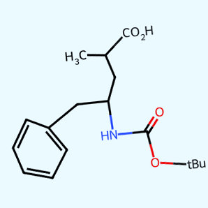 CC(CC(Cc1ccccc1)NC(=O)OC(C)(C)C)C(=O)O